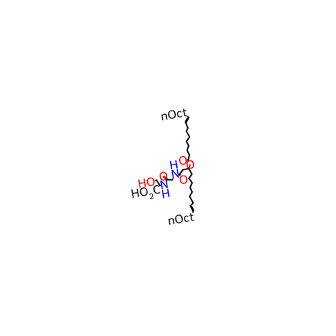 CCCCCCCC/C=C/CCCCCCCC(=O)OC(CCCCCCC/C=C/CCCCCCCC)CC(=O)NCC(=O)N[C@@H](CO)C(=O)O